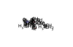 CCc1cc(OCOCC[Si](C)(C)C)ccc1-c1ccc2c(-c3nc(/C=C/[C@H]4COCCN4C(=O)OC(C)(C)C)cn3S(=O)(=O)N(C)C)nn(C3CCCCO3)c2c1